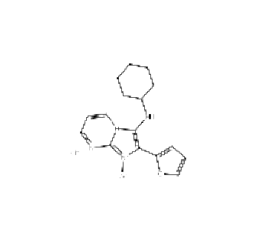 CC(=O)[n+]1c(-c2ccco2)c(NC2CCCCC2)n2cccnc21.[Cl-]